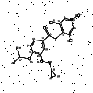 O=C(Cc1c(Cl)c[n+]([O-])cc1Cl)c1ccc(OC(F)F)c(OCC2CC2)c1